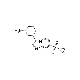 NC1CCCC(c2nnc3cc(S(=O)(=O)C4CC4)ccn23)C1